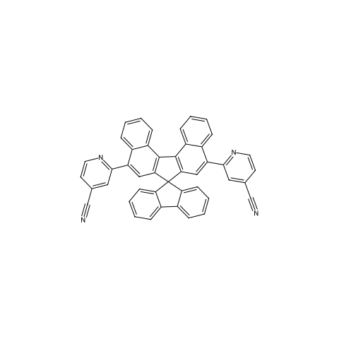 N#Cc1ccnc(-c2cc3c(c4ccccc24)-c2c(cc(-c4cc(C#N)ccn4)c4ccccc24)C32c3ccccc3-c3ccccc32)c1